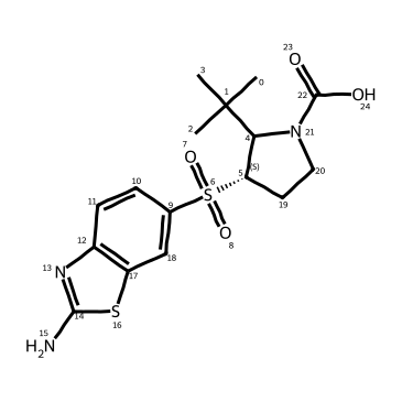 CC(C)(C)C1[C@@H](S(=O)(=O)c2ccc3nc(N)sc3c2)CCN1C(=O)O